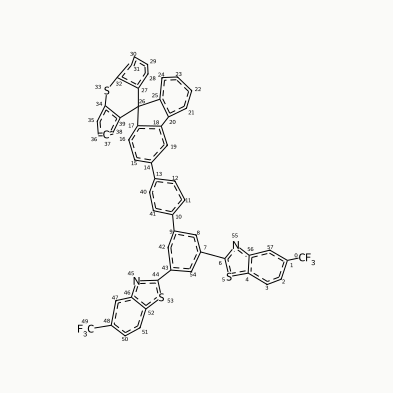 FC(F)(F)c1ccc2sc(-c3cc(-c4ccc(-c5ccc6c(c5)-c5ccccc5C65c6ccccc6Sc6ccccc65)cc4)cc(-c4nc5cc(C(F)(F)F)ccc5s4)c3)nc2c1